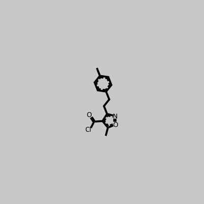 Cc1ccc(CCc2noc(C)c2C(=O)Cl)cc1